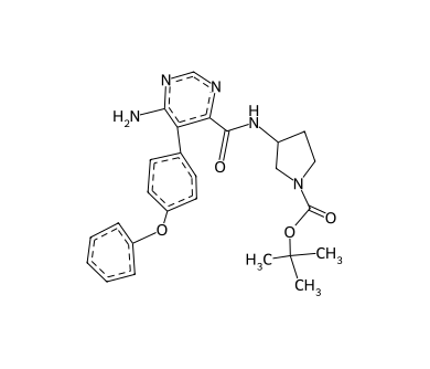 CC(C)(C)OC(=O)N1CCC(NC(=O)c2ncnc(N)c2-c2ccc(Oc3ccccc3)cc2)C1